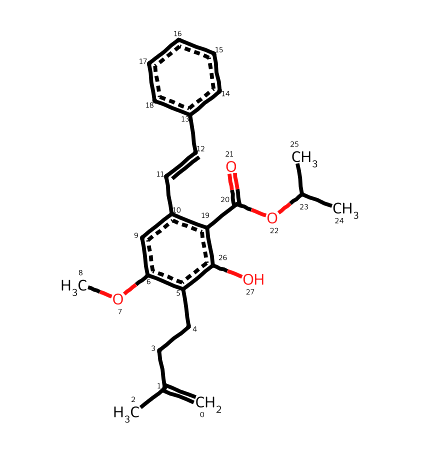 C=C(C)CCc1c(OC)cc(C=Cc2ccccc2)c(C(=O)OC(C)C)c1O